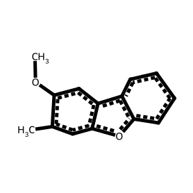 COc1cc2c(cc1C)oc1ccccc12